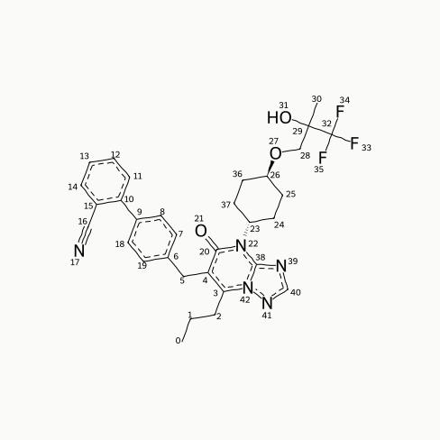 CCCc1c(Cc2ccc(-c3ccccc3C#N)cc2)c(=O)n([C@H]2CC[C@H](OCC(C)(O)C(F)(F)F)CC2)c2ncnn12